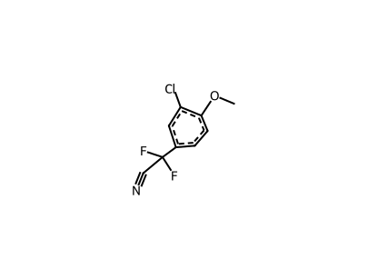 COc1ccc(C(F)(F)C#N)cc1Cl